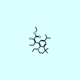 CCOC(=O)/C(F)=C(/CC)c1cc(C(C)C)cc2c1N(CC)CCC2(C)C